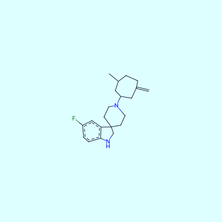 C=C1CCC(C)CC(N2CCC3(CC2)CNc2ccc(F)cc23)C1